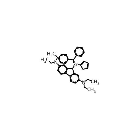 CCN(CC)c1ccc2c(c1)[CH]([Zr]([C]1=CC=CC1)=[C](c1ccccc1)c1ccccc1)c1cc(N(CC)CC)ccc1-2